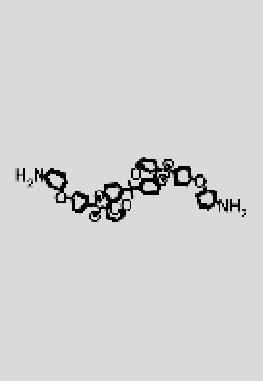 CC(C)(c1cccc2c1OC1=CCC2(S(=O)(=O)c2ccc(Oc3cccc(N)c3)cc2)C=C1)c1cccc2c1OC1=CCC2(S(=O)(=O)c2ccc(Oc3cccc(N)c3)cc2)C=C1